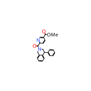 COC(=O)c1ccc(C(=O)N2Cc3ccccc3C(c3ccccc3)C2)nc1